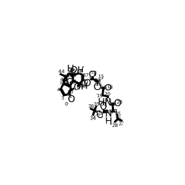 COc1ccc2c3c1O[C@H]1C(OC(=O)[C@H](C)OC(=O)CCNC(=O)[C@H](CC(C)C)NC(=O)OC(C)(C)C)=CC[C@@]4(O)[C@@H](C2)C(C)CC[C@]314